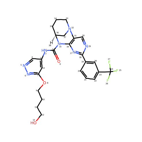 O=C(Nc1cnnc(OCCCCO)c1)N1c2nc(-c3cccc(C(F)(F)F)c3)ncc2N2CCC[C@H]1C2